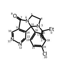 CCC(=O)N1CCN2C(=O)c3cnncc3C12c1ccc(Cl)cc1